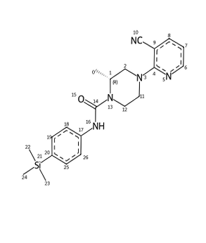 C[C@@H]1CN(c2ncccc2C#N)CCN1C(=O)Nc1ccc([Si](C)(C)C)cc1